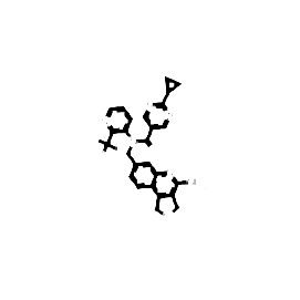 Nc1nc2cc(CN(C(=O)c3cnc(C4CC4)nc3)c3cccnc3C(F)(F)F)ccc2c2c1COC2